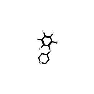 Fc1c(F)c(F)c(SC2CCOCC2)c(F)c1F